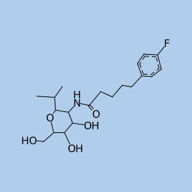 CC(C)C1OC(CO)C(O)C(O)C1NC(=O)CCCCc1ccc(F)cc1